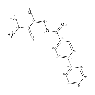 CN(C)C(=O)/C(Cl)=N\OC(=O)c1ccc(-c2ccccc2)cc1